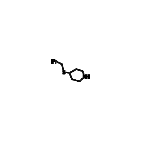 CC(C)CSC1CCNCC1